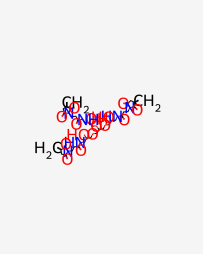 C=C1CC(=O)N(CCC(=O)NCC(O)COCC(COCC(O)CNC(=O)CCN2C(=O)CC(=C)C2=O)OCC(O)CNC(=O)CCN2C(=O)CC(=C)C2=O)C1=O